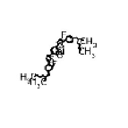 CCCCC(CC)Cc1ccc(-c2ccc(-c3ccc(-c4ccc(-c5ccc(CC(CC)CCCC)cc5F)s4)c4nscc34)s2)c(F)c1